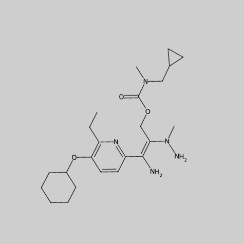 CCc1nc(/C(N)=C(\COC(=O)N(C)CC2CC2)N(C)N)ccc1OC1CCCCC1